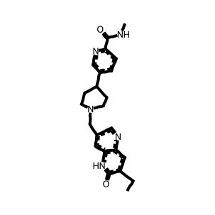 CCc1cc2ncc(CN3CCC(c4ccc(C(=O)NC)nc4)CC3)cc2[nH]c1=O